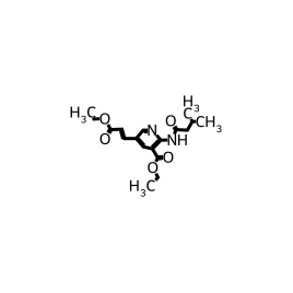 CCOC(=O)/C=C/c1cnc(NC(=O)CC(C)C)c(C(=O)OCC)c1